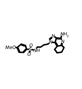 COc1ccc(S(=O)(=O)NCCCCn2cnc3c(N)nc4c(c32)CCCC4)cc1